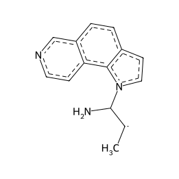 C[CH]C(N)n1ccc2ccc3cnccc3c21